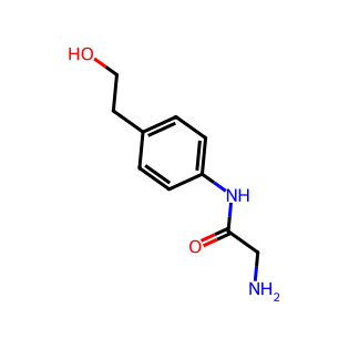 NCC(=O)Nc1ccc(CCO)cc1